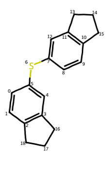 c1cc2c(cc1Sc1ccc3c(c1)CCC3)CCC2